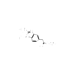 COC(=O)Cc1ccc2c(c1)nc(N)n2C(C)C